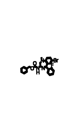 CN1CC(NC(=O)OCc2ccccc2)N=C(c2ccccc2F)c2cc(Br)ccc21